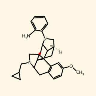 COc1ccc2c(c1)C13CCN(CC4CC4)C(C2)C12CCC1C3[C@@H](CN1c1ccccc1N)C2